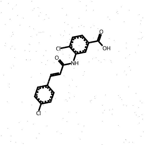 O=C(C=Cc1ccc(Cl)cc1)Nc1cc(C(=O)O)ccc1Cl